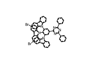 Brc1ccc2c(c1)c1cc(Br)ccc1n2-c1c(-n2c3ccccc3c3ccccc32)cc(-c2nc(-c3ccccc3)nc(-c3ccccc3)n2)cc1-n1c2ccccc2c2ccccc21